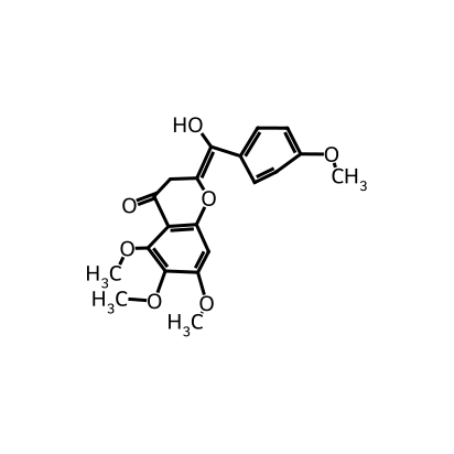 COc1ccc(C(O)=C2CC(=O)c3c(cc(OC)c(OC)c3OC)O2)cc1